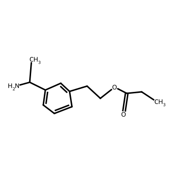 CCC(=O)OCCc1cccc(C(C)N)c1